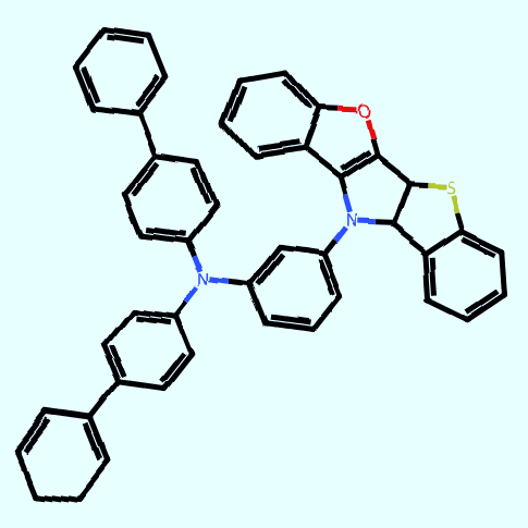 C1=CC(c2ccc(N(c3ccc(-c4ccccc4)cc3)c3cccc(N4c5c(oc6ccccc56)C5Sc6ccccc6C54)c3)cc2)=CCC1